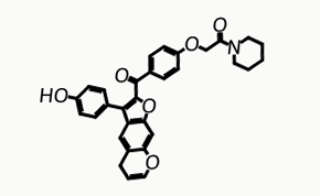 O=C(c1ccc(OCC(=O)N2CCCCC2)cc1)c1oc2cc3c(cc2c1-c1ccc(O)cc1)CC=CO3